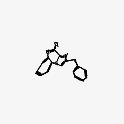 Clc1nc2ccccc2n2cc(Cc3ccccc3)nc12